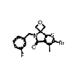 Cc1c(Br)sc2c1C(=O)N(Cc1cccc(F)c1)C21COC1